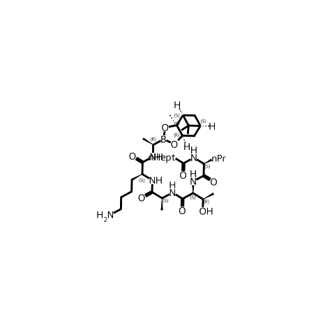 CCCCCCCC(=O)N[C@@H](CCC)C(=O)N[C@H](C(=O)N[C@@H](C)C(=O)N[C@@H](CCCCN)C(=O)N[C@@H](C)B1O[C@@H]2C[C@@H]3C[C@@H](C3(C)C)[C@]2(C)O1)[C@@H](C)O